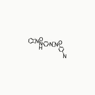 N#Cc1ccc(C(=O)N2CCN(c3ccc(NC(=O)N4Cc5ccccc5C4)cc3)CC2)cc1